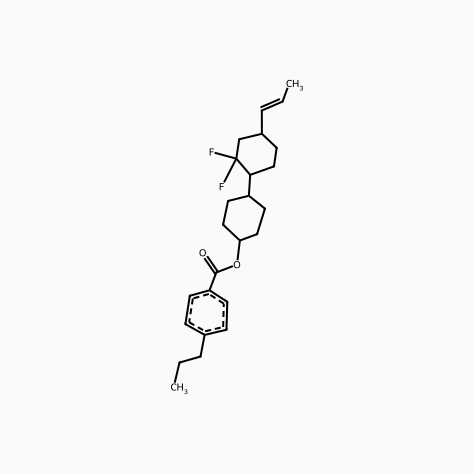 C/C=C/C1CCC(C2CCC(OC(=O)c3ccc(CCC)cc3)CC2)C(F)(F)C1